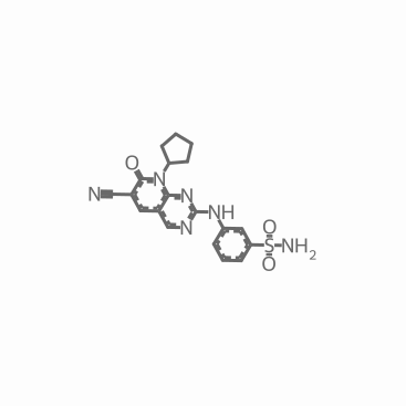 N#Cc1cc2cnc(Nc3cccc(S(N)(=O)=O)c3)nc2n(C2CCCC2)c1=O